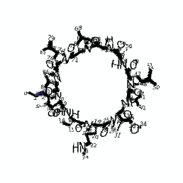 C/C=C/C[C@@H](C)[C@@H](O)[C@H]1C(=O)N[C@@H](CC)C(=O)N(C)[C@H](CCCNC)C(=O)N(C)[C@@H]([C@H](C)COC)C(=O)N[C@@H](C(C)C)C(=O)N(C)[C@@H](CCC(C)C)C(=O)N[C@@H](C)C(=O)N[C@H](C)C(=O)N(C)[C@@H](CC(C)C)C(=O)N(C)[C@@H](CCC(C)C)C(=O)N(C)[C@@H](C(C)C)C(=O)N1C